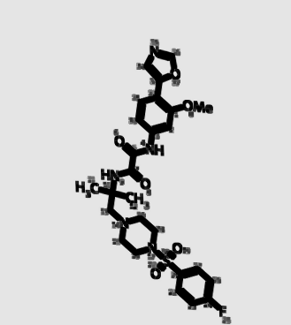 COc1cc(NC(=O)C(=O)NC(C)(C)CN2CCN(S(=O)(=O)c3ccc(F)cc3)CC2)ccc1-c1cnco1